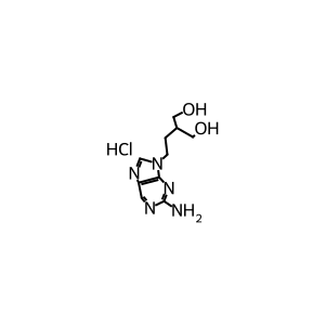 Cl.Nc1ncc2ncn(CCC(CO)CO)c2n1